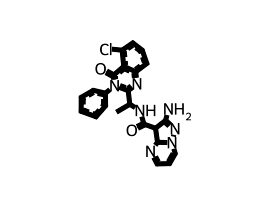 CC(NC(=O)C1C(N)=NN2C=CC=NC12)c1nc2cccc(Cl)c2c(=O)n1-c1ccccc1